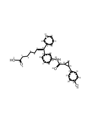 O=C(O)CCCCC=C(c1cccnc1)c1cccc(NC(=O)C2CC2c2ccc(Cl)cc2)c1